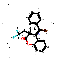 CC1(CC(F)(F)F)C(=O)Oc2ccccc2/C1=C(\Br)c1ccccc1